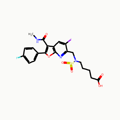 CNC(=O)c1c(-c2ccc(F)cc2)oc2nc(CN(CCCCC(=O)O)[SH](=O)=O)c(I)cc12